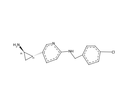 N[C@@H]1C[C@H]1c1ccc(NCc2ccc(Cl)cc2)nc1